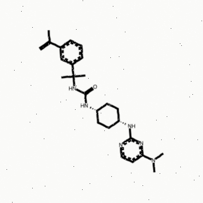 C=C(C)c1cccc(C(C)(C)NC(=O)N[C@H]2CC[C@@H](Nc3nccc(N(C)C)n3)CC2)c1